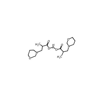 CC(CN1CCCOC1)C(=O)OBOC(=O)C(C)CN1CCCOC1